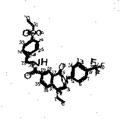 CC[C@@H]1CN(c2ccc(C(F)(F)F)cc2)C(=O)c2cc(C(=O)NCc3ccc(S(=O)(=O)CC)cc3)ccc21